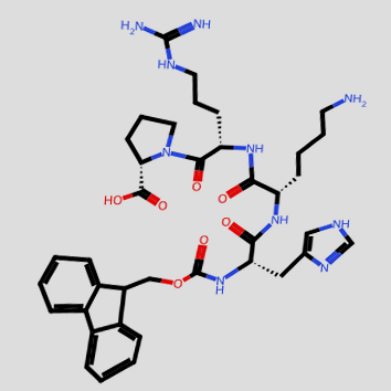 N=C(N)NCCC[C@H](NC(=O)[C@H](CCCCN)NC(=O)[C@H](Cc1c[nH]cn1)NC(=O)OCC1c2ccccc2-c2ccccc21)C(=O)N1CCC[C@H]1C(=O)O